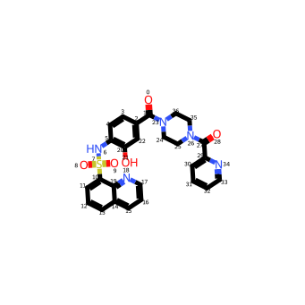 O=C(c1ccc(NS(=O)(=O)c2cccc3cccnc23)c(O)c1)N1CCN(C(=O)c2ccccn2)CC1